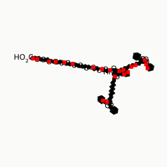 O=C(O)CCOCCOCCOCCOCCOCCOCCOCCOCCOCCOCCOCCOCCNC(=O)C(CCCCCCCCCCCCCCP(=O)(OCc1ccccc1)OCc1ccccc1)(CCCCCCCCCCCCCCP(=O)(OCc1ccccc1)OCc1ccccc1)C(=O)OCc1ccccc1